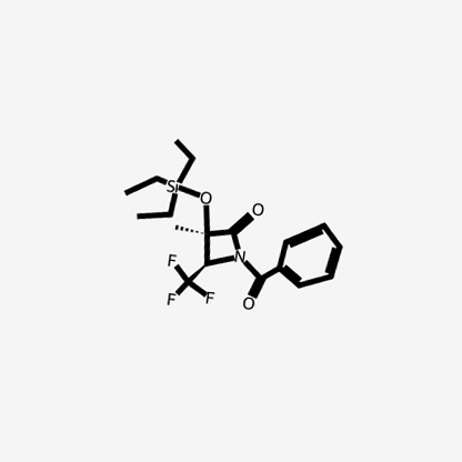 CC[Si](CC)(CC)O[C@@]1(C)C(=O)N(C(=O)c2ccccc2)[C@H]1C(F)(F)F